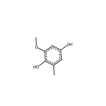 COc1[c]c(O)cc(C)c1O